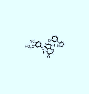 CN1CCN=C1c1cccc(OC2=NC(Oc3ccc(C#N)c(C(=O)O)c3)=C3NC(=O)CN=C3N2)c1